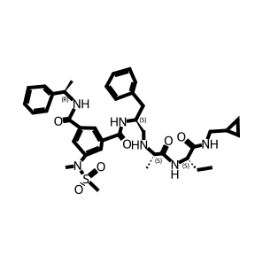 CC[C@H](NC(=O)[C@H](C)NC[C@H](Cc1ccccc1)NC(=O)c1cc(C(=O)N[C@H](C)c2ccccc2)cc(N(C)S(C)(=O)=O)c1)C(=O)NCC1CC1